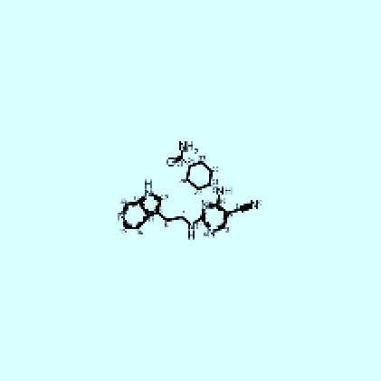 N#Cc1cnc(NCCc2c[nH]c3cnccc23)nc1N[C@H]1CC[C@@H](C(N)=O)CC1